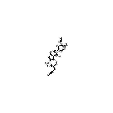 CC#CCC1COc2c(cn(C)c2C(=O)Nc2ccc(F)c(C#N)c2)[S+]([O-])N1